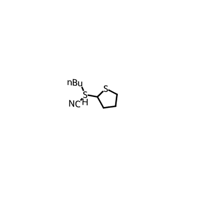 CCCC[SH](C#N)C1CCCS1